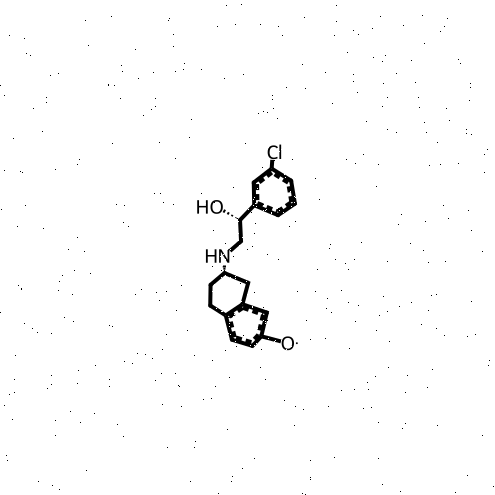 [O]c1ccc2c(c1)C[C@@H](NC[C@H](O)c1cccc(Cl)c1)CC2